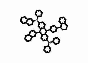 C1=c2ccccc2=C(c2ccc(-c3c4ccc(N(c5ccccc5)c5ccc6ccccc6c5)cc4c(-c4ccc5ccccc5c4)c4ccc(N(c5ccccc5)c5ccccc5)cc34)cc2)CC1